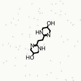 OC1CN=C(CCC2=NCC(O)CN2)NC1